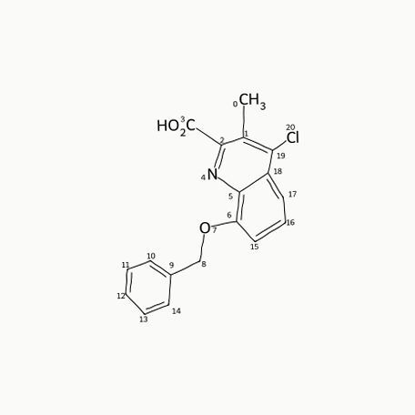 Cc1c(C(=O)O)nc2c(OCc3ccccc3)cccc2c1Cl